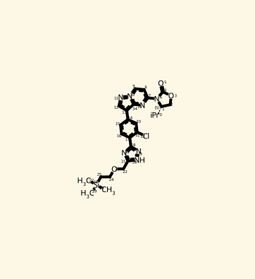 CC(C)[C@H]1COC(=O)N1c1ccn2ncc(-c3ccc(-c4n[nH]c(COCC[Si](C)(C)C)n4)c(Cl)c3)c2n1